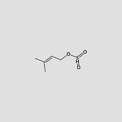 CC(C)=CCO[SH](=O)=O